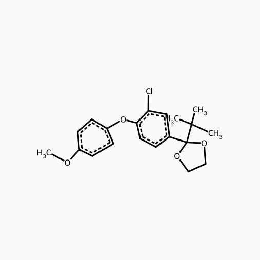 COc1ccc(Oc2ccc(C3(C(C)(C)C)OCCO3)cc2Cl)cc1